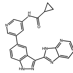 O=C(Nc1cncc(-c2ccc3[nH]nc(-c4nc5cccnc5[nH]4)c3c2)c1)C1CC1